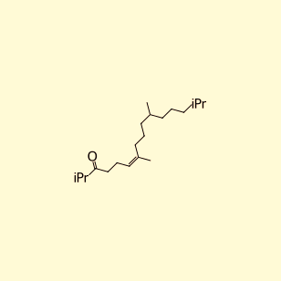 CC(=CCCC(=O)C(C)C)CCCC(C)CCCC(C)C